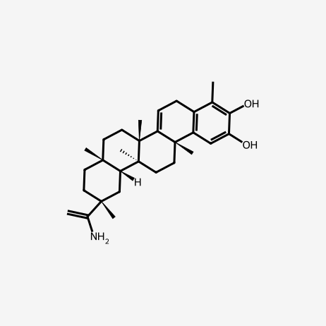 C=C(N)[C@]1(C)CC[C@]2(C)CC[C@]3(C)C4=CCc5c(cc(O)c(O)c5C)[C@]4(C)CC[C@@]3(C)[C@@H]2C1